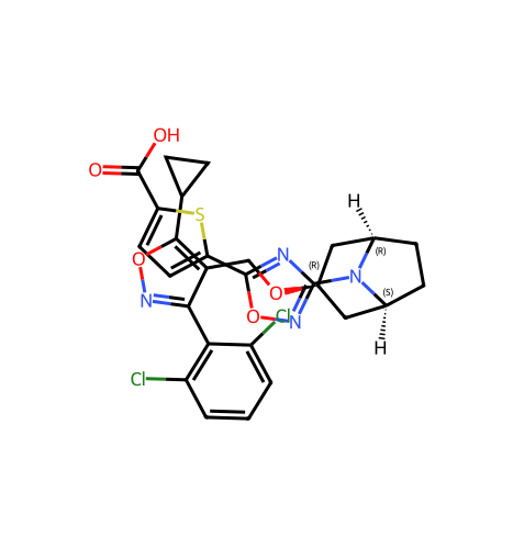 O=C(O)c1ccc(-c2nc(N3[C@@H]4CC[C@H]3C[C@@H](OCc3c(-c5c(Cl)cccc5Cl)noc3C3CC3)C4)no2)s1